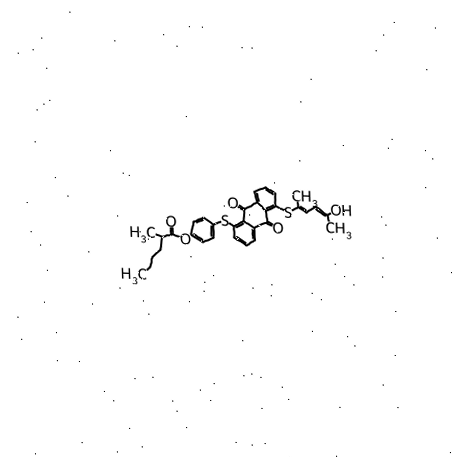 CCCCC(C)C(=O)Oc1ccc(Sc2cccc3c2C(=O)c2cccc(S/C(C)=C/C=C(\C)O)c2C3=O)cc1